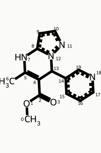 COC(=O)C1=C(C)Nc2ccnn2C1c1cccnc1